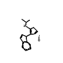 CCl.C[CH](C)[Zr][C]1=C(C2C=Cc3ccccc32)C=CC1